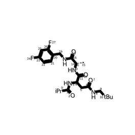 CC(C)C(=O)NC(CC(=O)NCC(C)(C)C)C(=O)N[C@@H](C)C(=O)NCc1ccc(F)cc1F